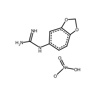 N=C(N)Nc1ccc2c(c1)OCO2.O=[N+]([O-])O